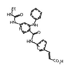 CCNC(=O)Nc1cc(Nc2ccccc2)c(C(=O)Nc2ccc(C=CC(=O)O)cc2)cn1